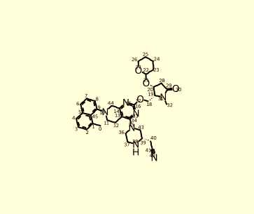 Cc1cccc2cccc(N3CCc4c(nc(OC[C@@H]5[C@H](OC6CCCCO6)CC(=O)N5C)nc4N4CCN[C@@H](CC#N)C4)C3)c12